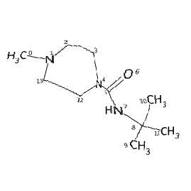 CN1CCN(C(=O)NC(C)(C)C)CC1